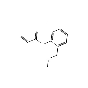 C=CC(=O)Oc1ccccc1CNC.Cl